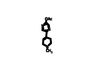 CC(=O)Oc1cnc(C2=CCN(C)CC2)cn1